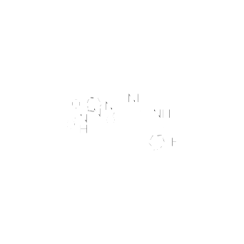 O=C1COc2ccc(N3C[C@H](NC4CC(NC5Cc6cccc(F)c6C5)C4)CC3=O)nc2N1